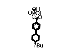 CCCCC1CCC(c2ccc(C(=O)OP(=O)(O)O)cc2)CC1